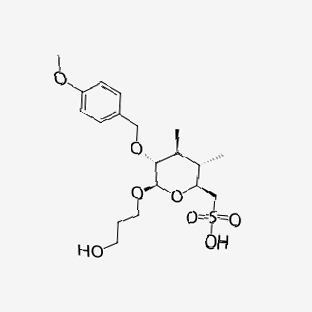 COc1ccc(CO[C@H]2[C@H](OCCCO)O[C@H](CS(=O)(=O)O)[C@@H](C)[C@@H]2C)cc1